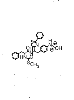 COC(=O)NC(Cc1ccccc1)C(=O)NC(Cc1ccc(NS(=O)(=O)O)cc1)c1csc(-c2ccccc2)n1